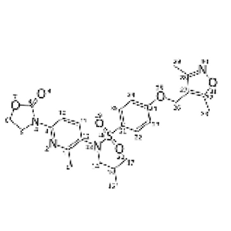 Cc1nc(N2CCOC2=O)ccc1N(CC(C)C)S(=O)(=O)c1ccc(OCc2c(C)noc2C)cc1